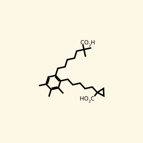 Cc1cc(CCCCCC(C)(C)C(=O)O)c(CCCCCC2(C(=O)O)CC2)c(C)c1C